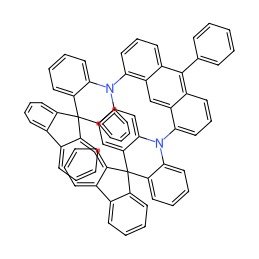 c1ccc(-c2c3cccc(N4c5ccccc5C5(c6ccccc6-c6ccccc65)c5ccccc54)c3cc3c(N4c5ccccc5C5(c6ccccc6-c6ccccc65)c5ccccc54)cccc23)cc1